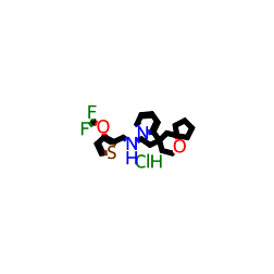 Cl.FC(F)Oc1ccsc1CNCCC1(c2ccccn2)CCOC2(CCCC2)C1